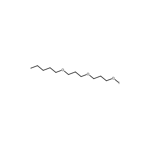 CCCCCOCCCOCCCOI